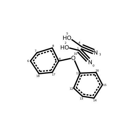 N#CO.N#CO.c1ccc(Oc2ccccc2)cc1